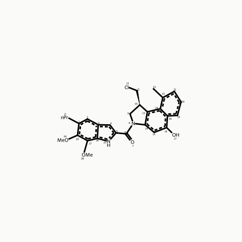 CCCc1cc2cc(C(=O)N3C[C@@H](CCl)c4c3cc(O)c3cccc(C)c43)[nH]c2c(OC)c1OC